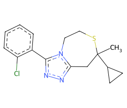 CC1(C2CC2)Cc2nnc(-c3ccccc3Cl)n2CCS1